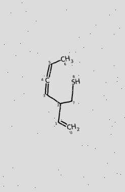 C=CC(C=C=CC)CS